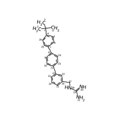 CC(C)(C)c1ccc(-c2ccc(-c3cccc(CNC(=N)N)c3)cc2)cc1